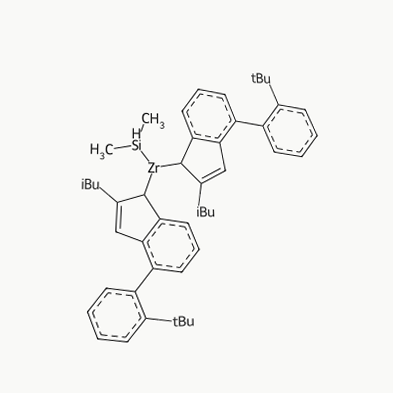 CCC(C)C1=Cc2c(-c3ccccc3C(C)(C)C)cccc2[CH]1[Zr]([CH]1C(C(C)CC)=Cc2c(-c3ccccc3C(C)(C)C)cccc21)[SiH](C)C